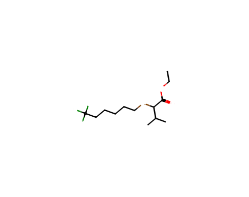 CCOC(=O)C(SCCCCCC(F)(F)F)C(C)C